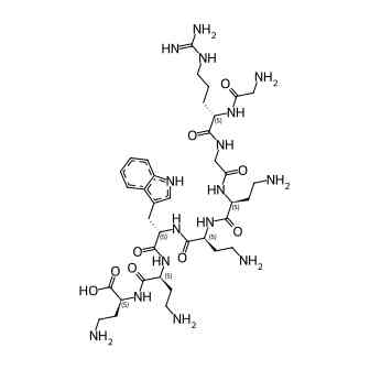 N=C(N)NCCC[C@H](NC(=O)CN)C(=O)NCC(=O)N[C@@H](CCN)C(=O)N[C@@H](CCN)C(=O)N[C@@H](Cc1c[nH]c2ccccc12)C(=O)N[C@@H](CCN)C(=O)N[C@@H](CCN)C(=O)O